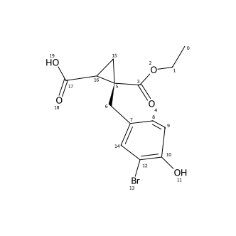 CCOC(=O)[C@@]1(Cc2ccc(O)c(Br)c2)CC1C(=O)O